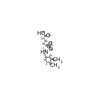 Cc1ccc(CNC[C@H](CCCC(=O)O)[N+](=O)[O-])cc1C